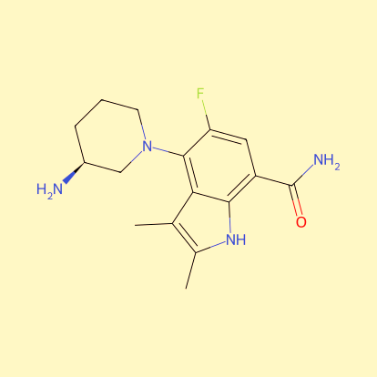 Cc1[nH]c2c(C(N)=O)cc(F)c(N3CCC[C@H](N)C3)c2c1C